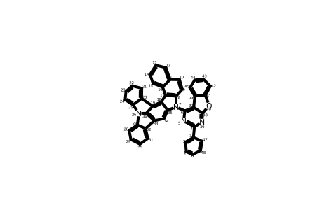 c1ccc(-c2nc(-n3c4ccc5ccccc5c4c4c5c6ccccc6n6c7ccccc7c(cc43)c56)c3c(n2)oc2ccccc23)cc1